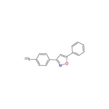 [123I]c1ccc(-c2cc(-c3ccccc3)on2)cc1